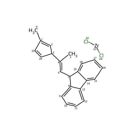 CC1=CC(C(C)=CC2c3ccccc3-c3ccccc32)C=C1.[Cl][Zr][Cl]